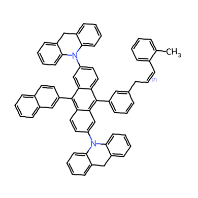 Cc1ccccc1/C=C\Cc1cccc(-c2c3ccc(N4c5ccccc5Cc5ccccc54)cc3c(-c3ccc4ccccc4c3)c3ccc(N4c5ccccc5Cc5ccccc54)cc23)c1